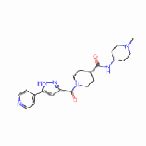 CN1CCC(NC(=O)C2CCN(C(=O)c3cc(-c4ccncc4)[nH]n3)CC2)CC1